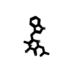 CC1=C(Cc2c[nH]c3ccccc23)NC(CC(C)C)C(=O)[NH+]1[O-]